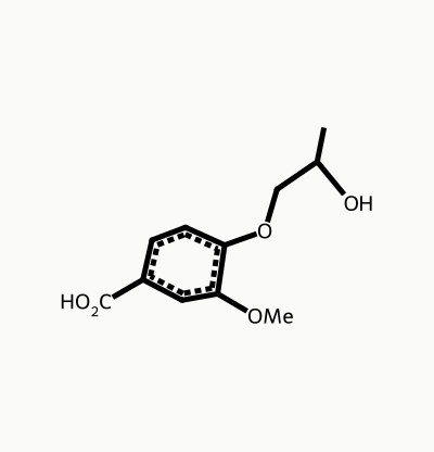 COc1cc(C(=O)O)ccc1OCC(C)O